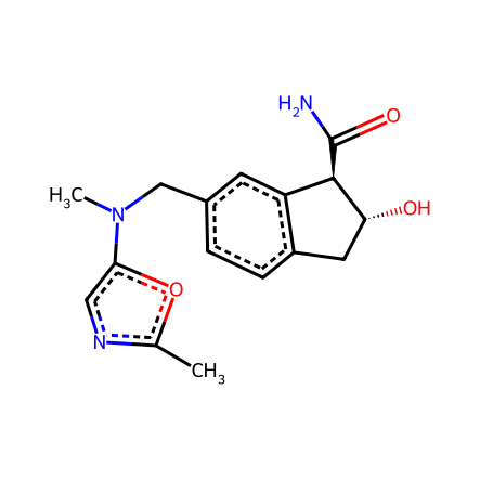 Cc1ncc(N(C)Cc2ccc3c(c2)[C@@H](C(N)=O)[C@H](O)C3)o1